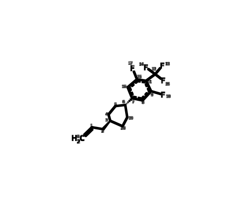 C=CC[C@H]1CC[C@H](c2cc(F)c(C(F)(F)F)c(F)c2)CC1